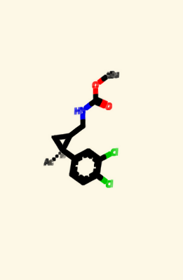 CC(=O)[C@]1(c2ccc(Cl)c(Cl)c2)CC1CNC(=O)OC(C)(C)C